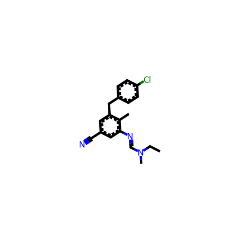 CCN(C)C=Nc1cc(C#N)cc(Cc2ccc(Cl)cc2)c1C